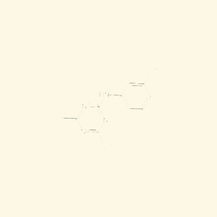 CCCc1nc(Cl)nc(Nc2cccc(C(F)(F)F)c2)n1